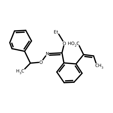 C/C=C(/C(=O)O)c1ccccc1/C(=N\OC(C)c1ccccc1)OCC